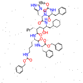 CC(C)C[C@H](C[C@H](O)[C@H](CC1CCCCC1)NC(=O)[C@H](Cc1c[nH]cn1)NC(=O)[C@H](Cc1ccccc1)NC(=O)OC(C)(C)C)C(=O)N[C@@H](CCCCNC(=O)OCc1ccccc1)C(=O)N[C@@H](Cc1ccccc1)C(=O)OCc1ccccc1